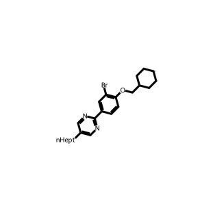 CCCCCCCc1cnc(-c2ccc(OCC3CC[CH]CC3)c(Br)c2)nc1